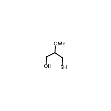 COC(CO)CS